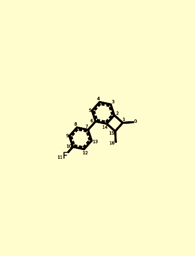 CC1c2cccc(-c3ccc(F)cc3)c2C1C